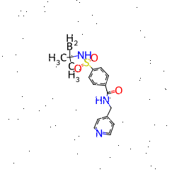 BC(C)(C)NS(=O)(=O)c1ccc(C(=O)NCc2ccncc2)cc1